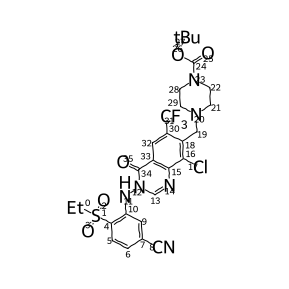 CCS(=O)(=O)c1ccc(C#N)cc1Nn1cnc2c(Cl)c(CN3CCN(C(=O)OC(C)(C)C)CC3)c(C(F)(F)F)cc2c1=O